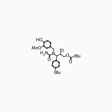 CCC(COC(=O)C(C)(C)C)C(c1ccc(C(C)(C)C)cc1)N(Cc1ccc(O)c(OC)c1)C(N)=O